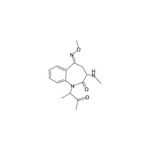 CNC1CC(=NOC)c2ccccc2N(C(C)C(C)=O)C1=O